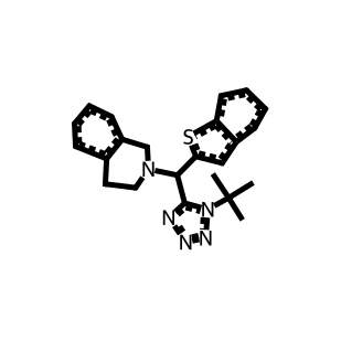 CC(C)(C)n1nnnc1C(c1cc2ccccc2s1)N1CCc2ccccc2C1